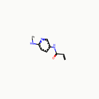 C=CC(=O)Nc1ccc(NC(C)C)nc1